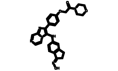 O=C(COc1ccc(-c2nc3cnccn3c2Nc2ccc3c(c2)CCC3=NO)cc1)N1CCOCC1